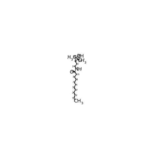 CCCCCCCCCCCC(=O)NCCC[N+](C)(C)O